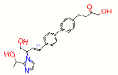 CC(O)c1nccn1C(/C=C/c1ccc(-c2ccc(CCC(=O)CO)cc2)cc1)CO